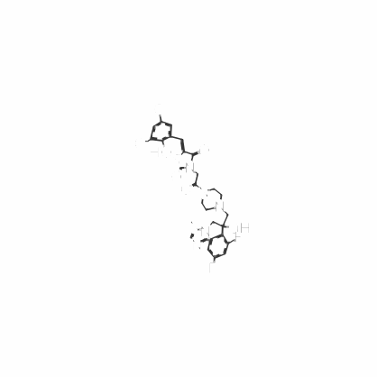 O=C(CN1C(=O)SC(=Cc2cc(Cl)cc(Cl)c2O)C1=O)N1CCN(CC(O)(Cn2cncn2)c2ccc(F)cc2F)CC1